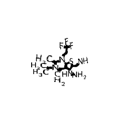 C=C1C2=C(SC(C=N)C2NN)N(CCC(F)(F)F)C(=C)N1C(C)C